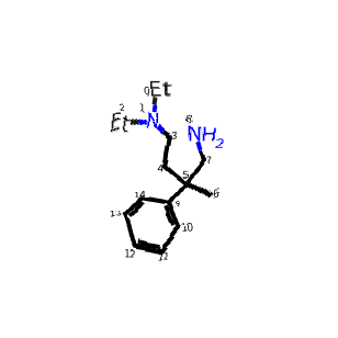 CCN(CC)CCC(C)(CN)c1ccccc1